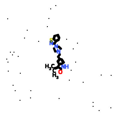 CC(C)=C1C(=O)Nc2ccc(CCN3CCN(c4nsc5ccccc45)CC3)cc21